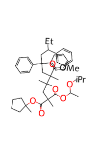 CCC(CC(CC(C)(C(=O)OC)C(C)(C)CC(C)(C(=O)OC(C)OC(C)C)C(=O)OC1(C)CCCC1)(c1ccccc1)c1ccccc1)c1ccccc1